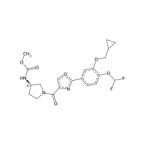 COC(=O)N[C@@H]1CCN(C(=O)c2coc(-c3ccc(OC(F)F)c(OCC4CC4)c3)n2)C1